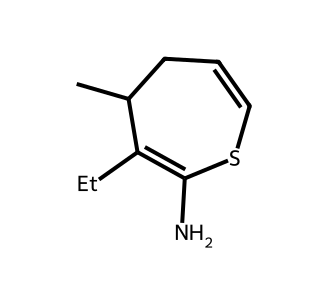 CCC1=C(N)SC=CCC1C